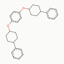 c1ccc(C2CCC(Oc3ccc(OC4CCC(c5ccccc5)CC4)cc3)CC2)cc1